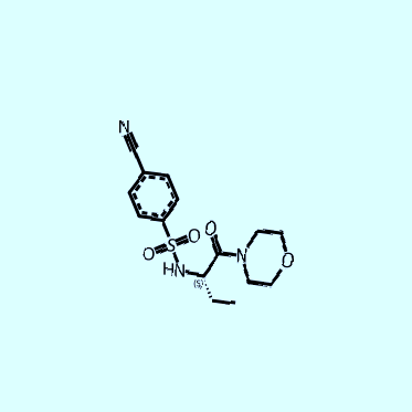 CC[C@H](NS(=O)(=O)c1ccc(C#N)cc1)C(=O)N1CCOCC1